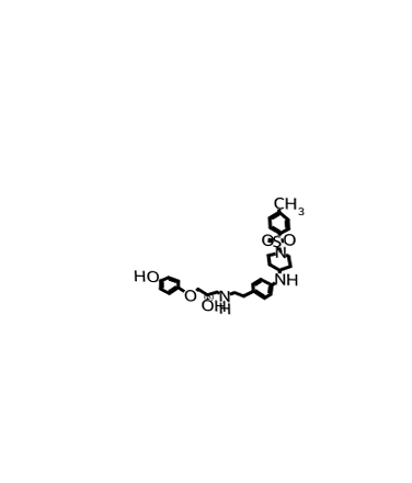 Cc1ccc(S(=O)(=O)N2CCC(Nc3ccc(CCNC[C@H](O)COc4ccc(O)cc4)cc3)CC2)cc1